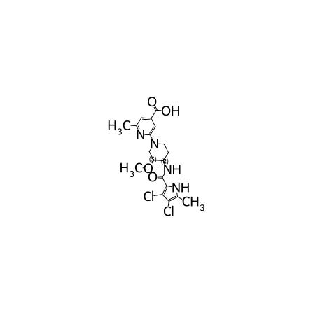 CO[C@H]1CN(c2cc(C(=O)O)cc(C)n2)CC[C@H]1NC(=O)c1[nH]c(C)c(Cl)c1Cl